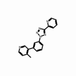 Cc1ccncc1-c1cccc(-n2nnc(-c3ccccn3)n2)c1